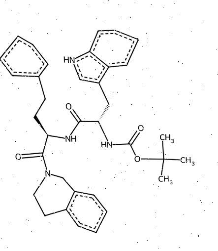 CC(C)(C)OC(=O)N[C@@H](Cc1c[nH]c2ccccc12)C(=O)N[C@H](CCc1ccccc1)C(=O)N1CCc2ccccc2C1